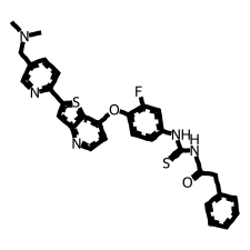 CN(C)Cc1ccc(-c2cc3nccc(Oc4ccc(NC(=S)NC(=O)Cc5ccccc5)cc4F)c3s2)nc1